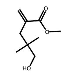 C=C(CC(C)(C)CO)C(=O)OC